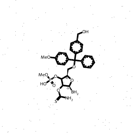 B[C@@H]1O[C@H](COC(c2ccccc2)(c2ccc(CO)cc2)c2ccc(OC)cc2)C(OP(=O)(O)OC)C1OC(N)=S